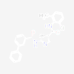 Cc1cccc(Cl)c1NC(=O)c1cnc(NC(=O)c2cccc(-c3ccccc3)c2)[se]1